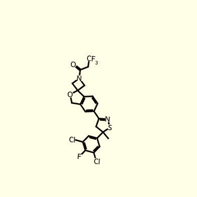 CC1(c2cc(Cl)c(F)c(Cl)c2)CC(c2ccc3c(c2)COC32CN(C(=O)CC(F)(F)F)C2)=NS1